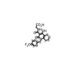 O=C(O)CNC(=O)c1c(O)c2c(n(Cc3ncc(C(F)(F)F)cn3)c1=O)CCOC2